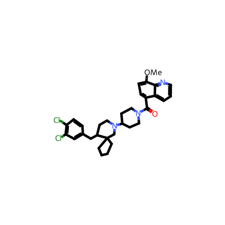 COc1ccc(C(=O)N2CCC(N3CCC(Cc4ccc(Cl)c(Cl)c4)C4(CCCC4)C3)CC2)c2cccnc12